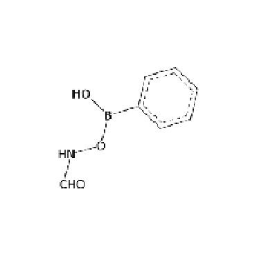 O=CNOB(O)c1ccccc1